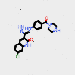 N=N/C(=C\Nc1ccc(C(=O)N2CCNCC2)cc1)c1cc2ccc(Cl)cc2[nH]c1=O